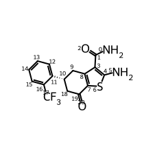 NC(=O)c1c(N)sc2c1C[C@@H](c1ccccc1C(F)(F)F)CC2=O